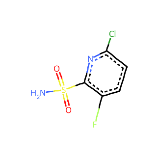 NS(=O)(=O)c1nc(Cl)ccc1F